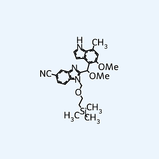 COc1cc(C)c2[nH]ccc2c1C(OC)c1nc2cc(C#N)ccc2n1COCC[Si](C)(C)C